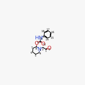 O=[C]CN1CCCCC1OC(=O)Nc1ccccc1